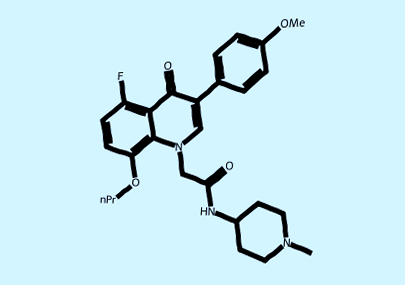 CCCOc1ccc(F)c2c(=O)c(-c3ccc(OC)cc3)cn(CC(=O)NC3CCN(C)CC3)c12